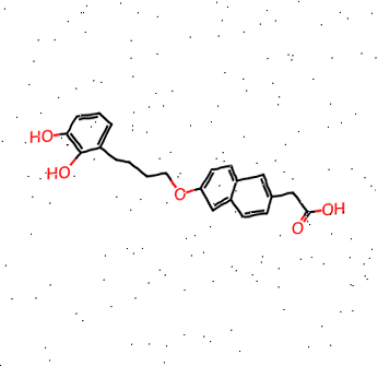 O=C(O)Cc1ccc2cc(OCCCCc3cccc(O)c3O)ccc2c1